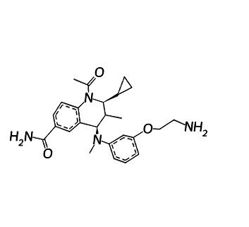 CC(=O)N1c2ccc(C(N)=O)cc2[C@H](N(C)c2cccc(OCCN)c2)C(C)[C@@H]1C1CC1